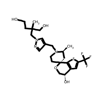 C[C@H]1C[C@@]2(CCN1Cc1cnn(CC(C)(CO)CCO)c1)OC[C@@H](O)c1cc(C(F)(F)F)sc12